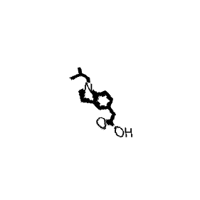 C[C](C)Cn1ccc2cc(CC(=O)O)ccc21